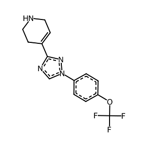 FC(F)(F)Oc1ccc(-n2cnc(C3=CCNCC3)n2)cc1